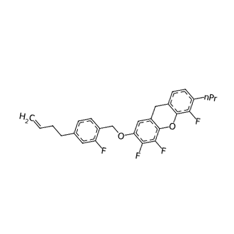 C=CCCc1ccc(COc2cc3c(c(F)c2F)Oc2c(ccc(CCC)c2F)C3)c(F)c1